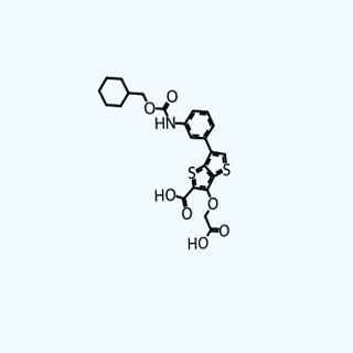 O=C(O)COc1c(C(=O)O)sc2c(-c3cccc(NC(=O)OCC4CCCCC4)c3)csc12